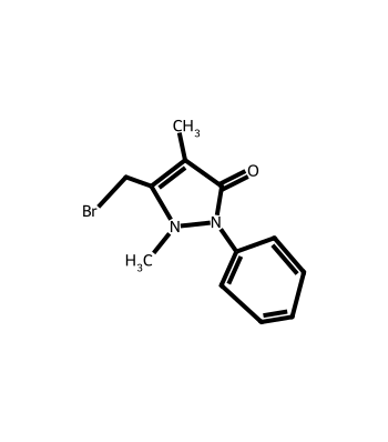 Cc1c(CBr)n(C)n(-c2ccccc2)c1=O